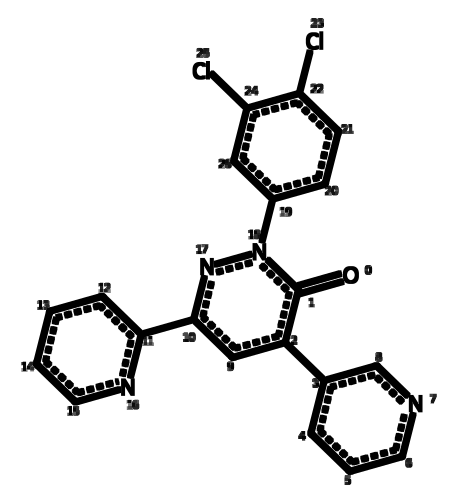 O=c1c(-c2cccnc2)cc(-c2ccccn2)nn1-c1ccc(Cl)c(Cl)c1